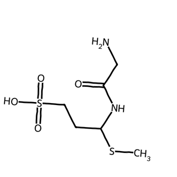 CSC(CCS(=O)(=O)O)NC(=O)CN